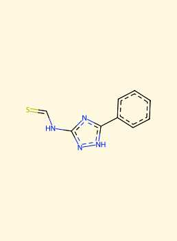 S=CNc1n[nH]c(-c2ccccc2)n1